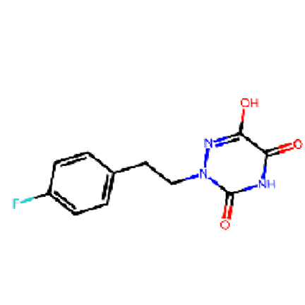 O=c1[nH]c(=O)n(CCc2ccc(F)cc2)nc1O